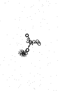 [2H]C([2H])([2H])C([2H])([2H])Oc1ccc(C#Cc2nc(OCC3COCCO3)cc(OCc3ccccc3)c2CC)cc1